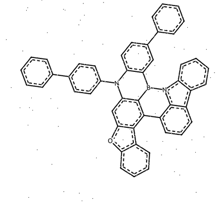 c1ccc(-c2ccc(N3c4ccc(-c5ccccc5)cc4B4c5c3cc3oc6ccccc6c3c5-c3cccc5c6ccccc6n4c35)cc2)cc1